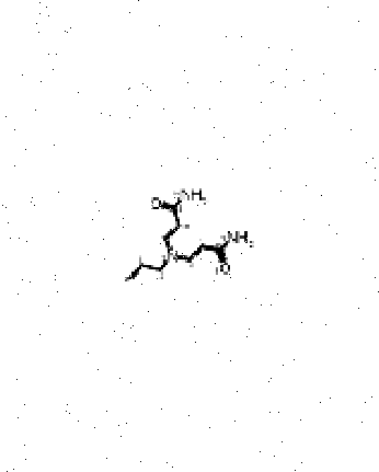 CCCN(CCC(N)=O)CCC(N)=O